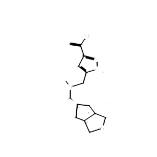 NC(=O)c1cc(CN(C[C@H]2C[C@H]3CNC[C@H]3C2)C(=O)O)on1